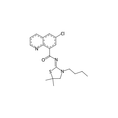 CCCCN1CC(C)(C)S/C1=N\C(=O)c1cc(Cl)cc2cccnc12